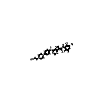 COc1cc(C)c(Cl)c(NC(=O)c2csc3c(Nc4ccc(N5CCN(CCO)CC5)cc4)ncnc23)c1Cl